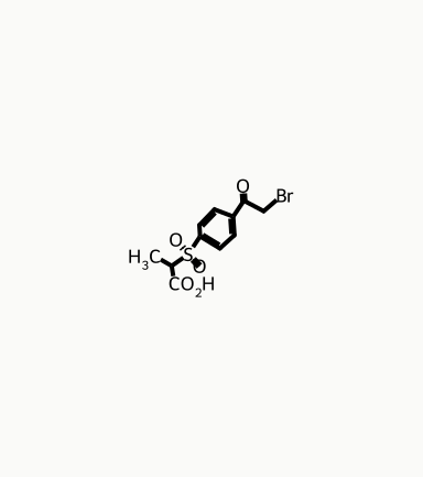 CC(C(=O)O)S(=O)(=O)c1ccc(C(=O)CBr)cc1